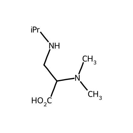 CC(C)NCC(C(=O)O)N(C)C